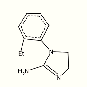 CCc1ccccc1N1CCN=C1N